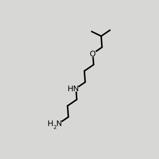 CC(C)COCCCNCCCN